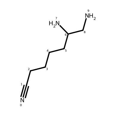 N#CCCCCC(N)CN